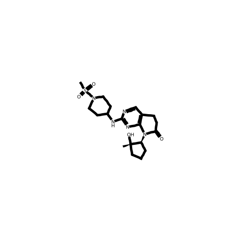 C[C@]1(O)CCC[C@@H]1N1C(=O)CCc2cnc(NC3CCN(S(C)(=O)=O)CC3)nc21